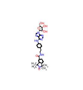 CC1(C)c2ccc(C(=O)NCCc3ccc(Nc4ncnc5c4ncn5[C@@H]4O[C@H](CO)[C@@H](O)[C@H]4O)cc3)cc2C(C)(C)N1[O]